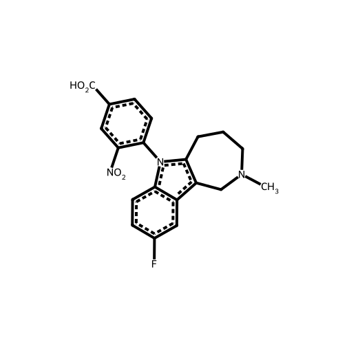 CN1CCCc2c(c3cc(F)ccc3n2-c2ccc(C(=O)O)cc2[N+](=O)[O-])C1